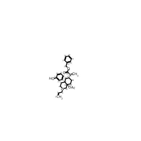 C=CCN1CC[C@@]2(c3cccc(O)c3)C[C@H](N(C)C(=O)OCc3ccccc3)CC[C@]2(OC(C)=O)C1